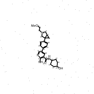 COCCN1CC2CC2(c2ccc(-c3cnc(N)c(C(=O)NC4CCC(O)CC4)c3)cc2)C1